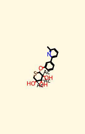 CC(=O)[C@]1(O)[C@@](O)(C(C)=O)CS[C@H](Oc2cccc(-c3cccc(C)n3)c2)[C@@]1(O)C(C)=O